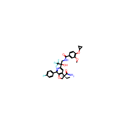 CC[C@@]1(C(N)=O)COc2c1cc(C(O)(CNC(=O)c1ccc(OC3CC3)c(OC)c1)C(F)(F)F)nc2-c1ccc(F)cc1